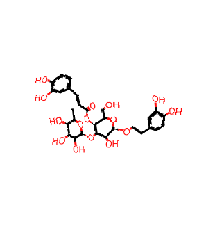 CC1O[C@@H](OC2C(O)[C@H](OCCc3ccc(O)c(O)c3)OC(CO)[C@@H]2OC(=O)/C=C/c2ccc(O)c(O)c2)C(O)C(O)[C@H]1O